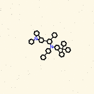 c1ccc(-c2ccc(N(c3cc(-c4ccccc4)cc(-c4ccc5c(c4)c4ccccc4n5-c4ccccc4)c3)c3ccc4c(c3)-c3ccccc3C4(c3ccccc3)c3ccccc3)cc2)cc1